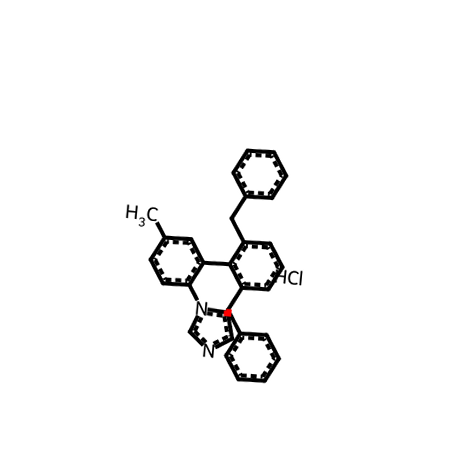 Cc1ccc(-n2ccnc2)c(-c2c(Cc3ccccc3)cccc2Cc2ccccc2)c1.Cl